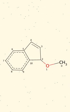 COC1C=Cc2ccc[c]c21